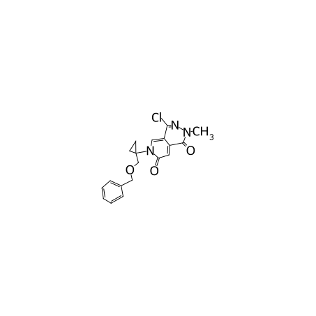 Cn1nc(Cl)c2cn(C3(COCc4ccccc4)CC3)c(=O)cc2c1=O